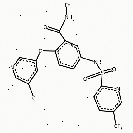 CCNC(=O)c1cc(NS(=O)(=O)c2ccc(C(F)(F)F)cn2)ccc1Oc1cncc(Cl)c1